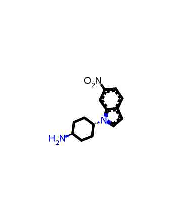 N[C@H]1CC[C@H](n2ccc3ccc([N+](=O)[O-])cc32)CC1